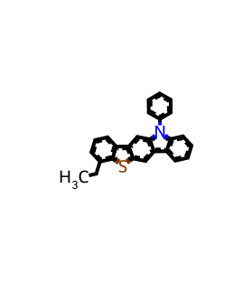 CCc1cccc2c1sc1cc3c4ccccc4n(-c4ccccc4)c3cc12